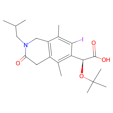 Cc1c(I)c([C@H](OC(C)(C)C)C(=O)O)c(C)c2c1CN(CC(C)C)C(=O)C2